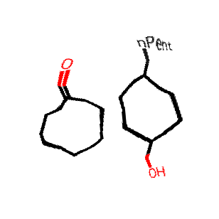 CCCCCC1CCC(O)CC1.O=C1CCCCC1